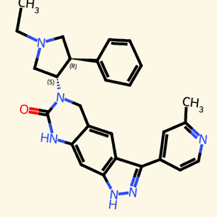 CCN1C[C@@H](N2Cc3cc4c(-c5ccnc(C)c5)n[nH]c4cc3NC2=O)[C@H](c2ccccc2)C1